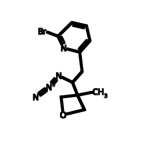 CC1(C(Cc2cccc(Br)n2)N=[N+]=[N-])COC1